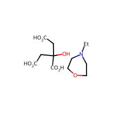 CCN1CCOCC1.O=C(O)CC(O)(CC(=O)O)C(=O)O